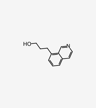 OCCCc1cccc2ccncc12